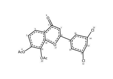 CC(=O)Oc1ccc2c(=O)cc(-c3cc(Cl)cc(Cl)c3)oc2c1OC(C)=O